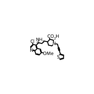 COc1ccc2ncc(Cl)c([C@H](N)CCC3CCN(CC#Cc4cccs4)CC3C(=O)O)c2c1